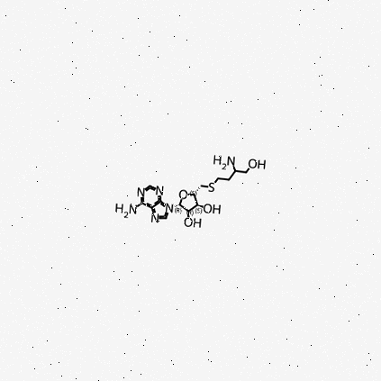 Nc1ncnc2c1ncn2[C@@H]1O[C@H](CSCCC(N)CO)[C@@H](O)[C@H]1O